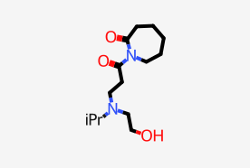 CC(C)N(CCO)CCC(=O)N1CCCCCC1=O